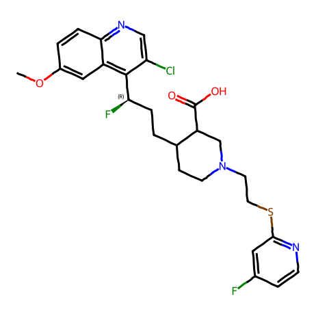 COc1ccc2ncc(Cl)c([C@H](F)CCC3CCN(CCSc4cc(F)ccn4)CC3C(=O)O)c2c1